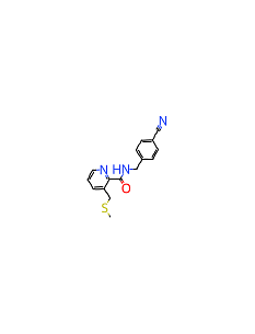 CSCc1cccnc1C(=O)NCc1ccc(C#N)cc1